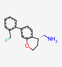 NC[C@@H]1CCOc2cc(-c3ccccc3CF)ccc21